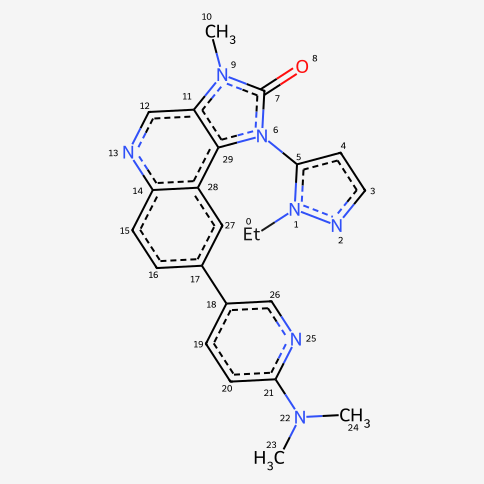 CCn1nccc1-n1c(=O)n(C)c2cnc3ccc(-c4ccc(N(C)C)nc4)cc3c21